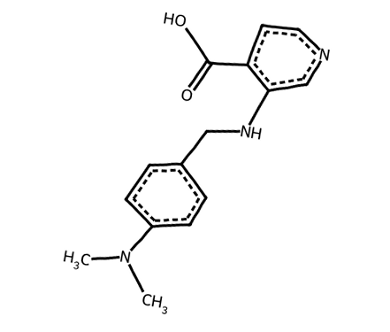 CN(C)c1ccc(CNc2cnccc2C(=O)O)cc1